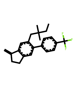 C=C1CCc2cc(-c3ccc(C(F)(F)F)cc3)c(CC(C)(C)CC)cc21